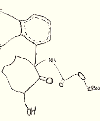 CC(C)(C)OC(=O)NC1(c2cccc(F)c2F)CCCC(O)C1=O